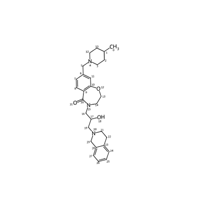 CC1CCN(Cc2ccc3c(c2)OCCN(CC(O)CN2CCc4ccccc4C2)C3=O)CC1